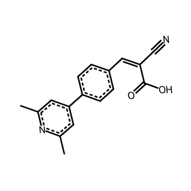 Cc1cc(-c2ccc(/C=C(/C#N)C(=O)O)cc2)cc(C)n1